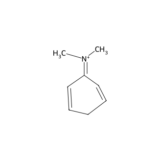 C[N+](C)=C1C=CCC=C1